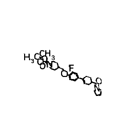 CC(C)(C)OC(=O)N1CCC(COc2ccc(C3=CCC(C(=O)N4CCCC4)CC3)cc2F)CC1